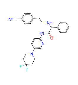 N#Cc1ccc(CCNC(C(=O)Nc2ccc(N3CCC(F)(F)CC3)cn2)c2ccccc2)cc1